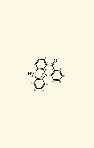 Cc1cccc(C(=O)c2ccccc2)c1Sc1ccccc1